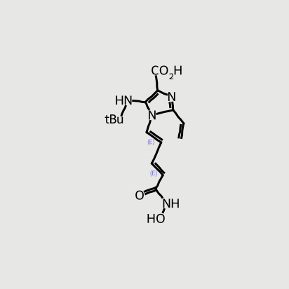 C=Cc1nc(C(=O)O)c(NC(C)(C)C)n1/C=C/C=C/C(=O)NO